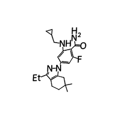 CCc1nn(-c2cc(F)c(C(N)=O)c(NCC3CC3)c2)c2c1CCC(C)(C)C2